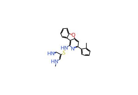 CN/C=C(\C=N)SNc1nc(-c2ccccc2C)cc2oc3ccccc3c12